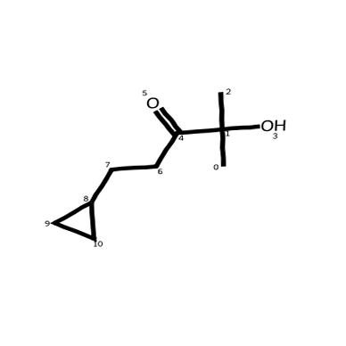 CC(C)(O)C(=O)CCC1CC1